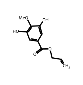 C=CCOC(=O)c1cc(O)c(OC)c(O)c1